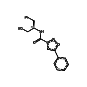 CC(C)C[C@H](CO)NC(=O)c1cc(-c2ccccc2)on1